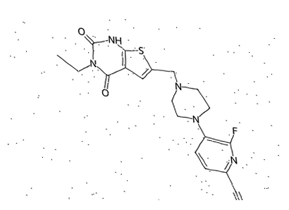 CCn1c(=O)[nH]c2sc(CN3CCN(c4ccc(C#N)nc4F)CC3)cc2c1=O